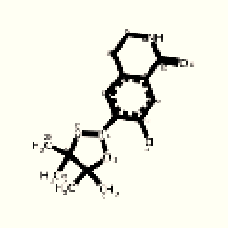 CC1(C)OB(c2cc3c(cc2Cl)C(=O)NCC3)OC1(C)C